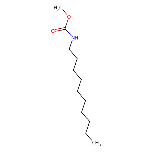 CCCCCCCCCCNC(=O)OC